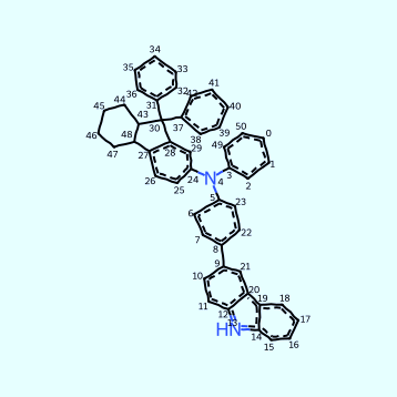 c1ccc(N(c2ccc(-c3ccc4[nH]c5ccccc5c4c3)cc2)c2ccc3c(c2)C(c2ccccc2)(c2ccccc2)C2CCCCC32)cc1